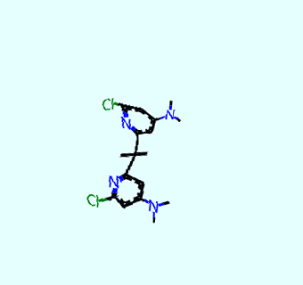 CN(C)c1cc(Cl)nc(C(C)(C)c2cc(N(C)C)cc(Cl)n2)c1